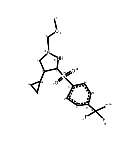 COCN1CC(C2CC2)C(S(=O)(=O)c2ccc(C(F)(F)F)cc2)N1